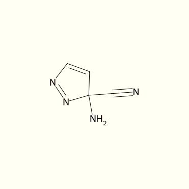 N#CC1(N)C=CN=N1